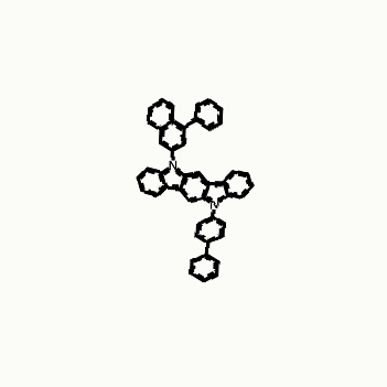 c1ccc(-c2ccc(-n3c4ccccc4c4cc5c(cc43)c3ccccc3n5-c3cc(-c4ccccc4)c4ccccc4c3)cc2)cc1